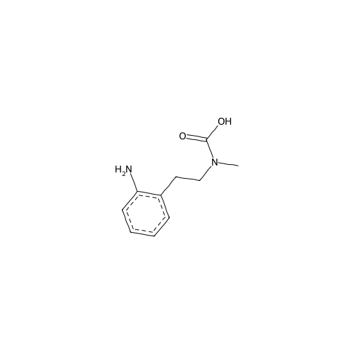 CN(CCc1ccccc1N)C(=O)O